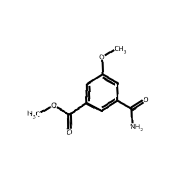 COC(=O)c1cc(OC)cc(C(N)=O)c1